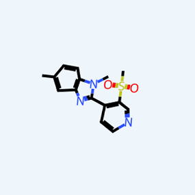 Cc1ccc2c(c1)nc(-c1ccncc1S(C)(=O)=O)n2C